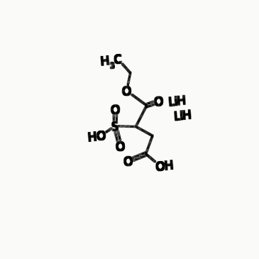 CCOC(=O)C(CC(=O)O)S(=O)(=O)O.[LiH].[LiH]